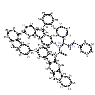 C=C(/N=C(\N=C\c1ccccc1)c1ccccc1)n1c2ccc(-c3ccc4oc5cccc(-c6ccc7c(c6)c6ccccc6n7-c6ccccc6)c5c4c3)cc2c2cc3sc4ccccc4c3cc21